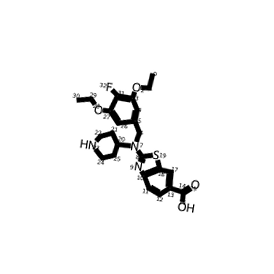 CCOc1cc(CN(c2nc3ccc(C(=O)O)cc3s2)C2CCNCC2)cc(OCC)c1F